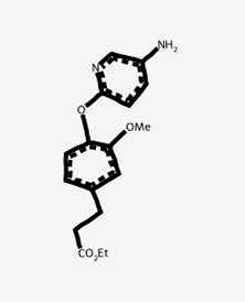 CCOC(=O)CCc1ccc(Oc2ccc(N)cn2)c(OC)c1